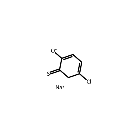 [Na+].[O-]C1=CC=C(Cl)CC1=S